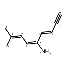 C#C/C=C/C(N)=C\C=C(C)C